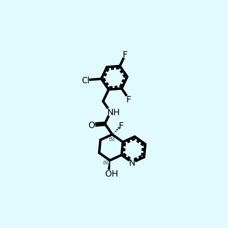 O=C(NCc1c(F)cc(F)cc1Cl)[C@]1(F)CC[C@H](O)c2ncccc21